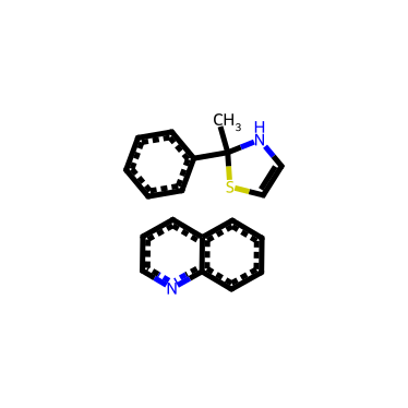 CC1(c2ccccc2)NC=CS1.c1ccc2ncccc2c1